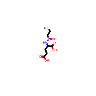 CCCP(O)NC(CCC(=O)O)C(=O)O